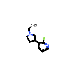 O=CCN1CCC(c2cccnc2F)C1